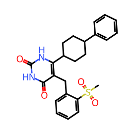 CS(=O)(=O)c1ccccc1Cc1c(C2CCC(c3ccccc3)CC2)[nH]c(=O)[nH]c1=O